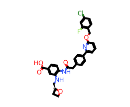 O=C(Cc1ccc(-c2cccc(OCc3ccc(Cl)cc3F)n2)cc1)Nc1ccc(C(=O)O)cc1NC[C@@H]1CCO1